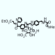 CCCCCCOC(=O)NN=Cc1ccc(NCc2nc3cc(C(=O)N(CCC(=O)OCC)c4ccccn4)ccc3n2C)cc1.O=C(O)C(O)C(O)C(=O)O